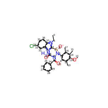 CCn1c([S+]([O-])N(c2cc(C)c(OC)c(C)c2C)N(C(N)=O)C(=O)c2ccccc2)nc2cc(Cl)ccc21